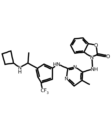 Cc1cnc(Nc2cc(C(C)NC3CCC3)cc(C(F)(F)F)c2)nc1Nn1c(=O)oc2ccccc21